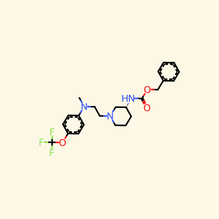 CN(CCN1CCC[C@@H](NC(=O)OCc2ccccc2)C1)c1ccc(OC(F)(F)F)cc1